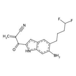 Bc1cc2[nH]c(C(=O)C(=C)C#N)cc2cc1CCCC(F)F